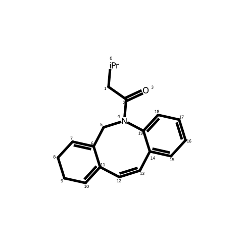 CC(C)CC(=O)N1CC2=CCCC=C2/C=C\c2ccccc21